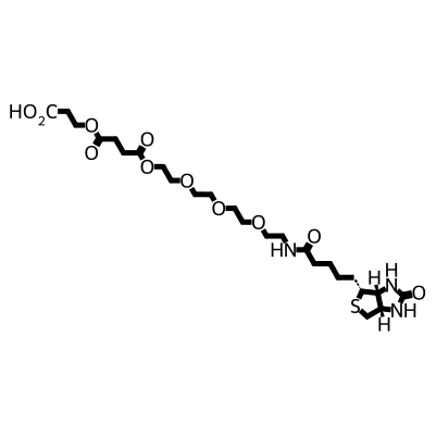 O=C(O)CCOC(=O)CCC(=O)OCCOCCOCCOCCNC(=O)CCCC[C@H]1SC[C@H]2NC(=O)N[C@H]21